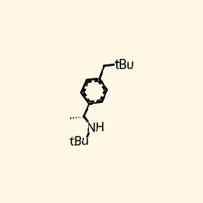 C[C@@H](NC(C)(C)C)c1ccc(CC(C)(C)C)cc1